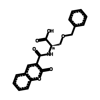 O=C(N[C@@H](COCc1ccccc1)C(=O)O)c1cc2ccccc2oc1=O